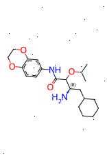 CC(C)OC(C(=O)Nc1ccc2c(c1)OCCO2)[C@H](N)CC1CCCCC1